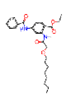 CCCCCCCCOCC(=O)N(C)c1cc(NC(=O)c2ccccc2)ccc1C(=O)OCC